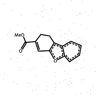 COC(=O)C1=Cc2oc3ccccc3c2CC1